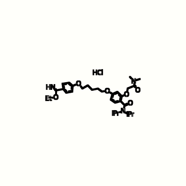 CCOC(=N)c1ccc(OCCCCCOc2ccc(C(=O)N(C(C)C)C(C)C)c(OCC(=O)N(C)C)c2)cc1.Cl